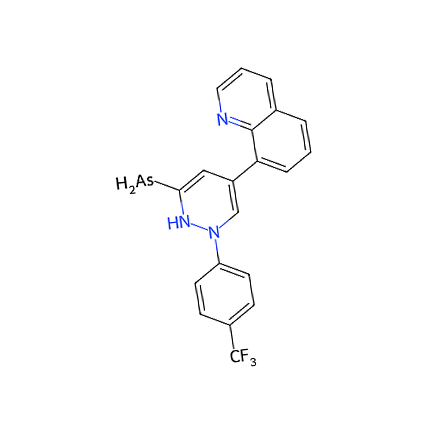 FC(F)(F)c1ccc(N2C=C(c3cccc4cccnc34)C=C([AsH2])N2)cc1